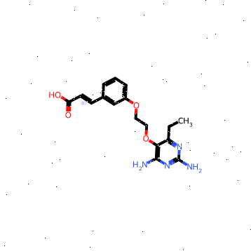 CCc1nc(N)nc(N)c1OCCOc1cccc(/C=C/C(=O)O)c1